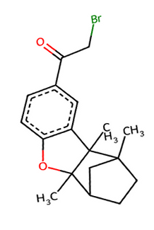 CC12CCC(C1)C1(C)Oc3ccc(C(=O)CBr)cc3C21C